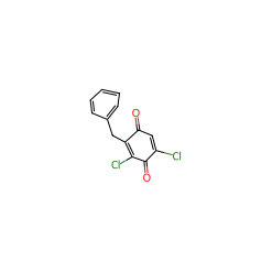 O=C1C=C(Cl)C(=O)C(Cl)=C1Cc1ccccc1